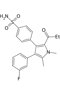 CCC(=O)c1c(-c2ccc(S(N)(=O)=O)cc2)c(-c2cccc(F)c2)c(C)n1C